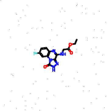 CCOC(=O)CNc1nc2ccc(F)cc2n2c(=O)[nH]nc12